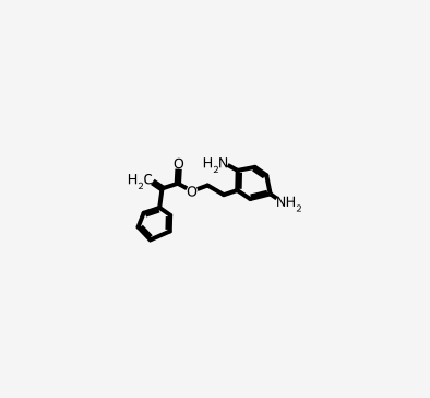 C=C(C(=O)OCCc1cc(N)ccc1N)c1ccccc1